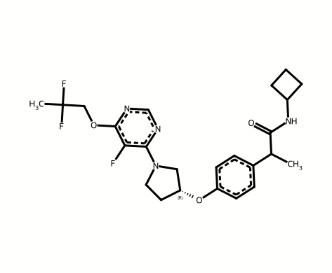 CC(C(=O)NC1CCC1)c1ccc(O[C@@H]2CCN(c3ncnc(OCC(C)(F)F)c3F)C2)cc1